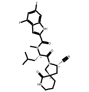 CC(C)C[C@@H](C(=O)N1C[C@]2(CCCNC2=O)C[C@H]1C#N)N(C)C(=O)c1cc2c(F)cc(F)cc2[nH]1